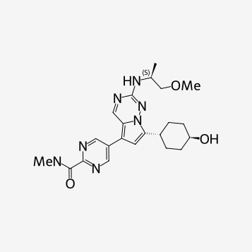 CNC(=O)c1ncc(-c2cc([C@H]3CC[C@H](O)CC3)n3nc(N[C@@H](C)COC)ncc23)cn1